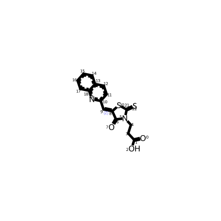 O=C(O)CCN1C(=O)/C(=C/c2ccc3ccccc3n2)SC1=S